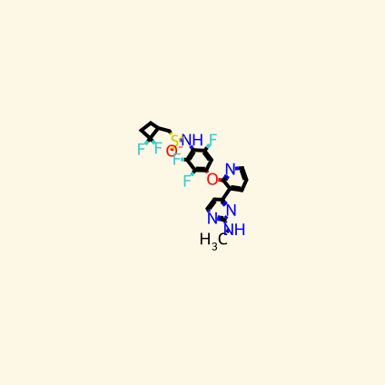 CNc1nccc(-c2cccnc2Oc2cc(F)c(N[S+]([O-])CC3CCC3(F)F)c(F)c2F)n1